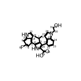 CC(C)c1c(-c2cc(F)cc3[nH]ccc23)[nH]c(C(=O)O)c1-c1cccc2c1ccn2CCO